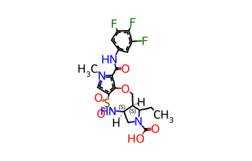 CCC1[C@@H]2COc3c(cn(C)c3C(=O)Nc3cc(F)c(F)c(F)c3)S(=O)(=O)N[C@@H]2CN1C(=O)O